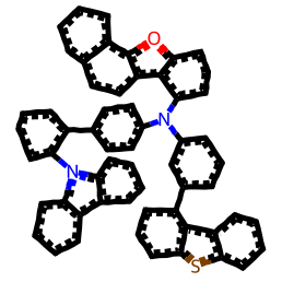 c1cc(-c2cccc3sc4ccccc4c23)cc(N(c2ccc(-c3ccccc3-n3c4ccccc4c4ccccc43)cc2)c2cccc3oc4c5ccccc5ccc4c23)c1